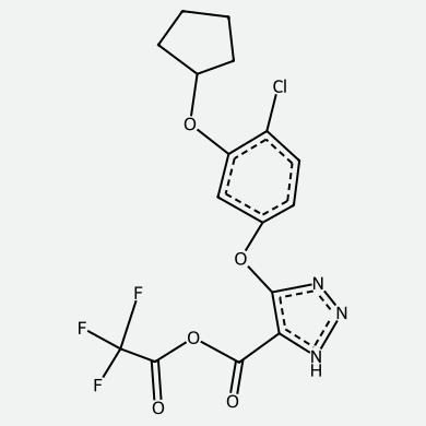 O=C(OC(=O)C(F)(F)F)c1[nH]nnc1Oc1ccc(Cl)c(OC2CCCC2)c1